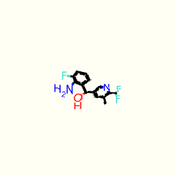 Cc1cc(C(O)c2cccc(F)c2N)cnc1C(F)F